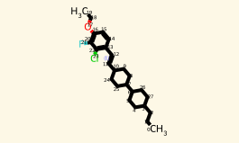 CCCC1CCC(C2CCC(/C=C/c3ccc(OCC)c(F)c3Cl)CC2)CC1